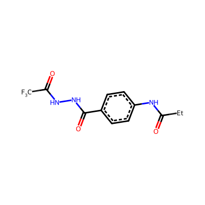 CCC(=O)Nc1ccc(C(=O)NNC(=O)C(F)(F)F)cc1